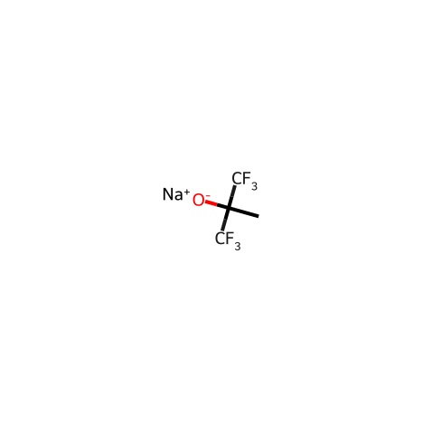 CC([O-])(C(F)(F)F)C(F)(F)F.[Na+]